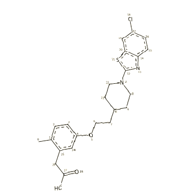 Cc1ccc(OCCC2CCN(c3nc4ccc(Cl)cc4s3)CC2)cc1CC(=O)O